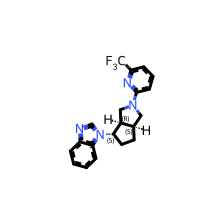 FC(F)(F)c1cccc(N2C[C@H]3CC[C@H](n4cnc5ccccc54)[C@H]3C2)n1